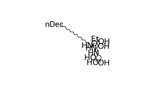 CCCCCCCCCCCCCCCCCCCCCCCCNC(=O)NC(CNC1CCC(O)C(O)C1O)C(O)CC(O)CC